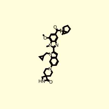 COc1cc(C(=O)N2CC3CCC2[C@@H]3C)cc2nc(-c3cc4ccc(N5CCC6(CC5)CNC6=O)cc4n3CC3CC3)n(C)c12